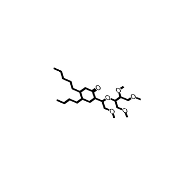 CCCCCC1CC(=O)C(C(COC)OC(COC)C(COC)OC)CC1CCCC